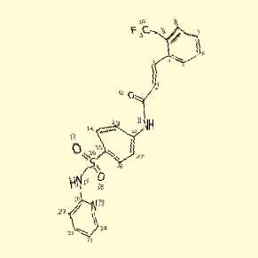 O=C(/C=C/c1ccccc1C(F)(F)F)Nc1ccc(S(=O)(=O)Nc2ccccn2)cc1